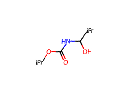 CC(C)OC(=O)NC(O)C(C)C